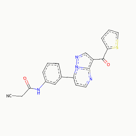 N#CCC(=O)Nc1cccc(-c2ccnc3c(C(=O)c4cccs4)cnn23)c1